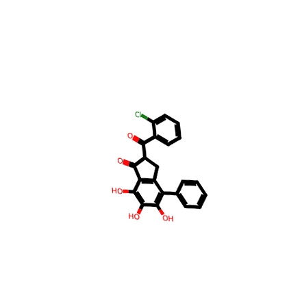 O=C(c1ccccc1Cl)C1Cc2c(c(O)c(O)c(O)c2-c2ccccc2)C1=O